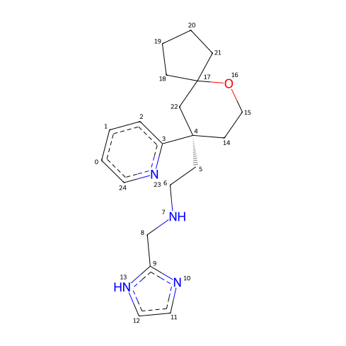 c1ccc([C@]2(CCNCc3ncc[nH]3)CCOC3(CCCC3)C2)nc1